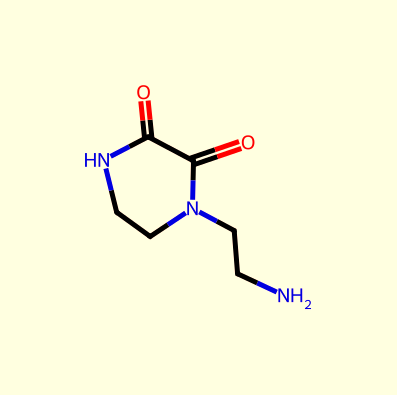 NCCN1CCNC(=O)C1=O